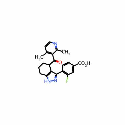 Cc1ccnc(C)c1C(=O)C1CCCc2[nH]nc(-c3ccc(C(=O)O)cc3F)c21